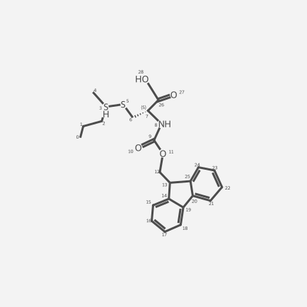 CCC[SH](C)SC[C@@H](NC(=O)OCC1c2ccccc2-c2ccccc21)C(=O)O